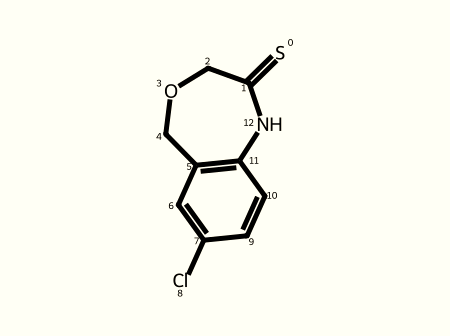 S=C1COCc2cc(Cl)ccc2N1